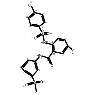 CS(=O)(=O)c1cccc(NC(=O)c2cc(Cl)ccc2NS(=O)(=O)c2ccc(Cl)cc2)c1